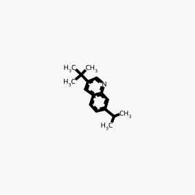 CC(C)c1ccc2cc(C(C)(C)C)cnc2c1